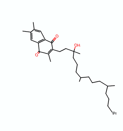 CC1=C(CCC(C)(O)CCCC(C)CCCC(C)CCCC(C)C)C(=O)c2cc(C)c(C)cc2C1=O